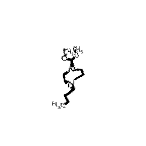 CCCCN1CCN(C(OC)OC)CC1